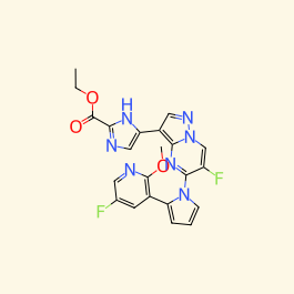 CCOC(=O)c1ncc(-c2cnn3cc(F)c(-n4cccc4-c4cc(F)cnc4OC)nc23)[nH]1